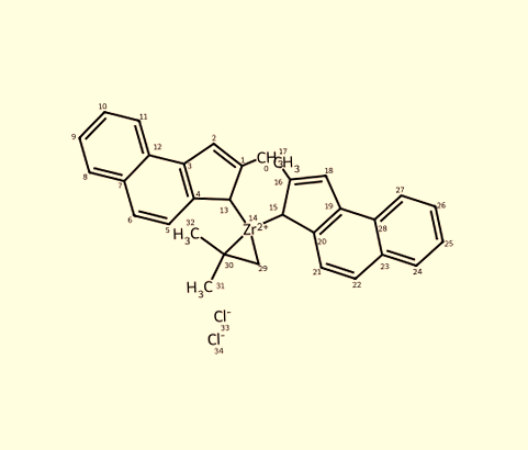 CC1=Cc2c(ccc3ccccc23)[CH]1[Zr+2]1([CH]2C(C)=Cc3c2ccc2ccccc32)[CH2][C]1(C)C.[Cl-].[Cl-]